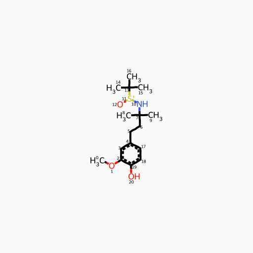 COc1cc(CCC(C)(C)N[S+]([O-])C(C)(C)C)ccc1O